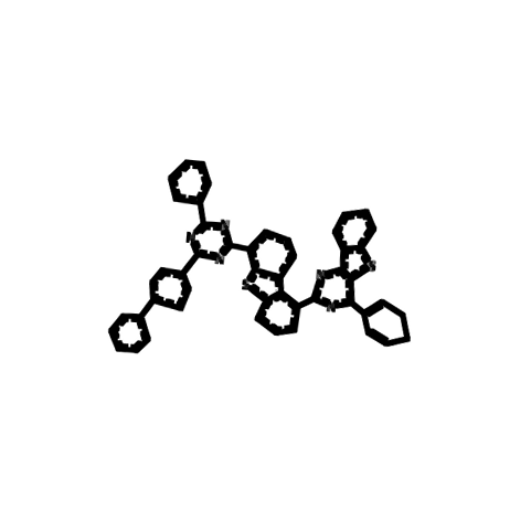 C1=CC(c2nc(-c3cccc4sc5c(-c6nc(-c7ccccc7)nc(-c7ccc(-c8ccccc8)cc7)n6)cccc5c34)nc3c2sc2ccccc23)=CCC1